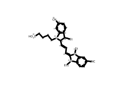 [C-]#[N+]c1ccc2c(c1)N(CC)/C(=C\C=C\C1C(CC)c3ccc([N+]#[C-])cc3N1CCCCS(=O)(=O)O)N2CC